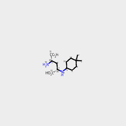 CC1(C)CCC(N[C@@H](C[C@H](N)C(=O)O)C(=O)O)CC1